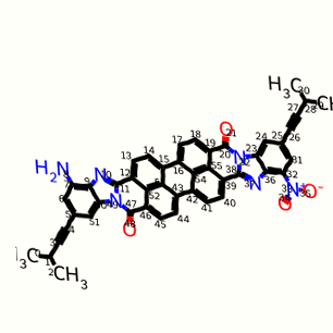 CC(C)C#Cc1cc(N)c2nc3c4ccc5c6ccc7c(=O)n8c9cc(C#CC(C)C)cc([N+](=O)[O-])c9nc8c8ccc(c9ccc(c(=O)n3c2c1)c4c59)c6c78